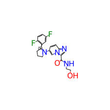 O=C(NCCO)c1cnc2ccc(N3CCC[C@H]3c3cc(F)ccc3F)cn12